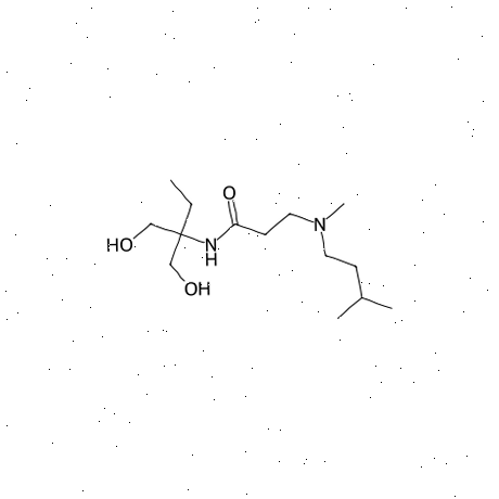 CCC(CO)(CO)NC(=O)CCN(C)CCC(C)C